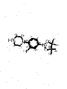 CC1(C)OB(c2ccc(N3CCNCC3)c(F)c2)OC1(C)C